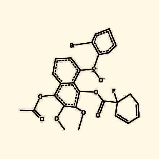 COc1c(OC)c(OC(=O)C2(F)C=CC=CC2)c2c([S+]([O-])c3ccccc3Br)cccc2c1OC(C)=O